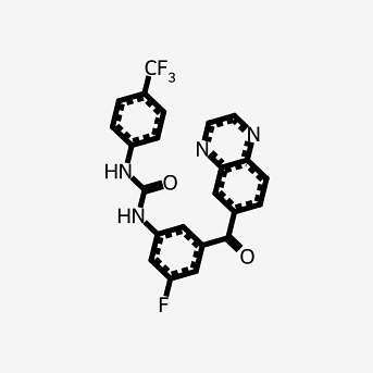 O=C(Nc1ccc(C(F)(F)F)cc1)Nc1cc(F)cc(C(=O)c2ccc3nccnc3c2)c1